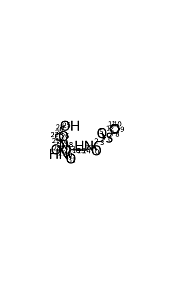 O=C(CCC(=O)Sc1ccccc1)NCC#Cc1cn([C@H]2CC[C@@H](CO)O2)c(=O)[nH]c1=O